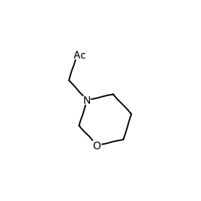 CC(=O)CN1CCCOC1